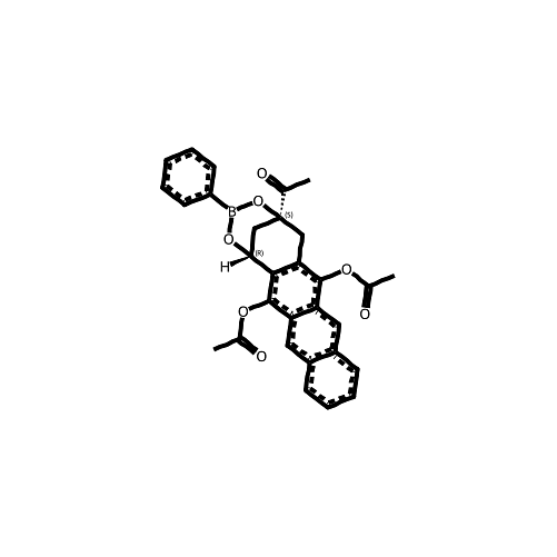 CC(=O)Oc1c2c(c(OC(C)=O)c3cc4ccccc4cc13)[C@H]1C[C@](C(C)=O)(C2)OB(c2ccccc2)O1